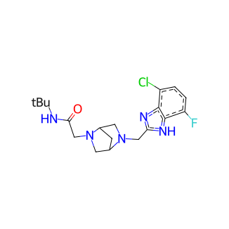 CC(C)(C)NC(=O)CN1CC2CC1CN2Cc1nc2c(Cl)ccc(F)c2[nH]1